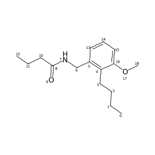 CCCCc1c(CNC(=O)CCC)cccc1OC